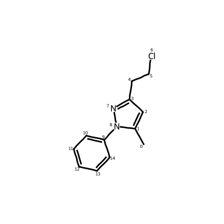 Cc1cc(CCCl)nn1-c1ccccc1